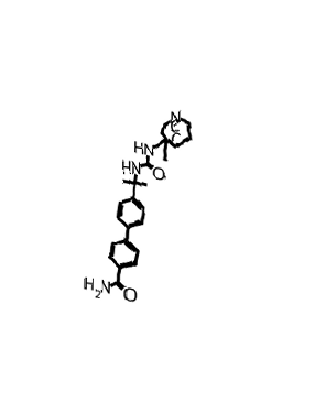 CC(C)(NC(=O)NC1(C)CCN2CCC1CC2)c1ccc(-c2ccc(C(N)=O)cc2)cc1